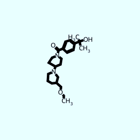 CCOCC1CCCN(C2CCN(C(=O)c3ccc(C(C)(C)O)cc3)CC2)C1